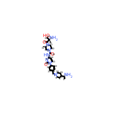 CC(N)C1CCN(Cc2ccc(-n3ccc(NC(=O)N4CCN(C(=O)[C@@](C)(N)CO)[C@H](C)C4)nc3=O)cc2)CC1